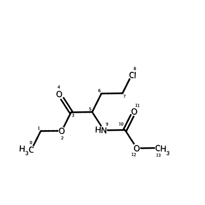 CCOC(=O)C(CCCl)NC(=O)OC